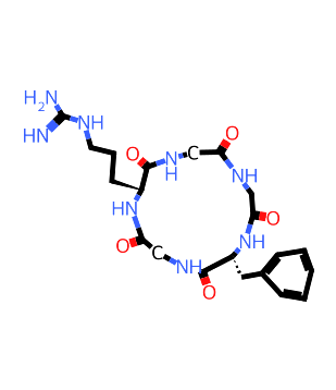 N=C(N)NCCC[C@@H]1NC(=O)CNC(=O)[C@@H](Cc2ccccc2)NC(=O)CNC(=O)CNC1=O